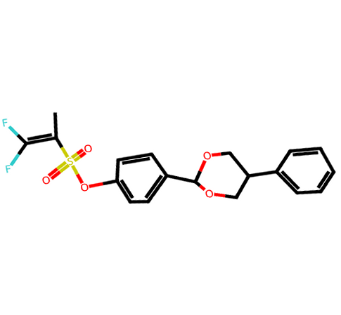 CC(=C(F)F)S(=O)(=O)Oc1ccc(C2OCC(c3ccccc3)CO2)cc1